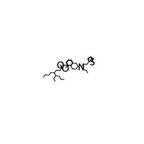 CCCCC(CCC(=O)Oc1cccc2c1CCC(N(CCC)CCc1cccs1)C2)C(CC)CCC